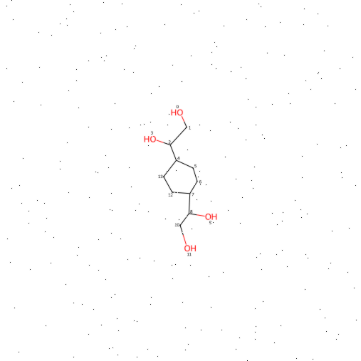 OCC(O)C1CCC(C(O)CO)CC1